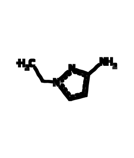 [CH2]Cn1ccc(N)n1